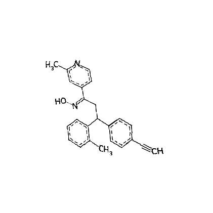 C#Cc1ccc(C(CC(=NO)c2ccnc(C)c2)c2ccccc2C)cc1